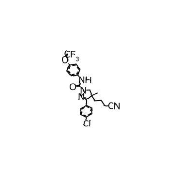 CC1(CCCC#N)CN(C(=O)Nc2ccc(OC(F)(F)F)cc2)N=C1c1ccc(Cl)cc1